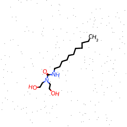 CCCCCCCCCCCNC(=O)N(CCO)CCO